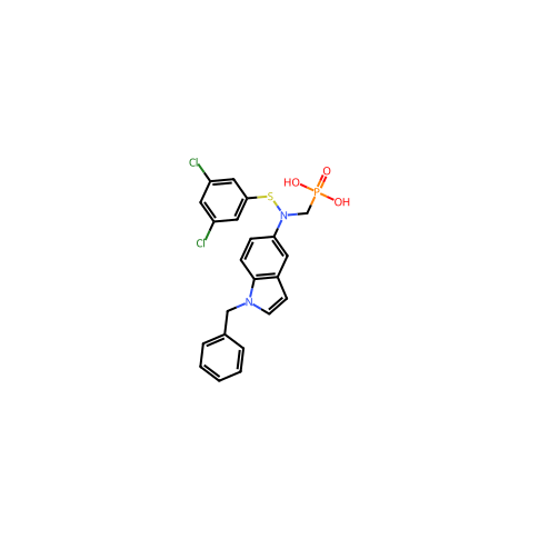 O=P(O)(O)CN(Sc1cc(Cl)cc(Cl)c1)c1ccc2c(ccn2Cc2ccccc2)c1